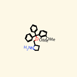 COc1cccc(C(OCC2CCCN2N)(c2ccccc2)c2ccccc2)c1OC